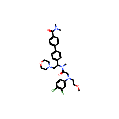 COCCN(CC(=O)N(C)C(CN1CCOCC1)c1ccc(-c2ccc(C(=O)N(C)C)cc2)cc1)c1ccc(Cl)c(Cl)c1